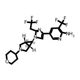 Nc1ncc(-c2cn([C@H]3[C@@H]4CN(C5CCOCC5)C[C@@H]43)c(CC(F)(F)F)n2)cc1C(F)(F)F